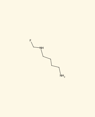 NCCCCNCF